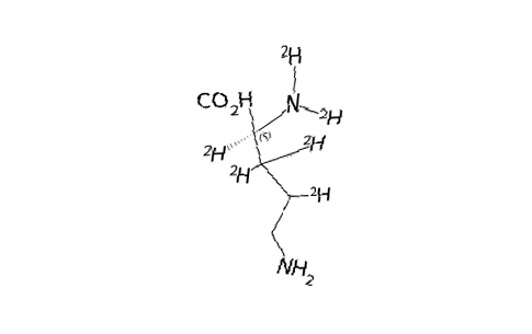 [2H]C(CN)C([2H])([2H])[C@@]([2H])(C(=O)O)N([2H])[2H]